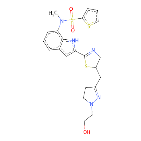 CN(c1cccc2cc(C3=NCC(CC4=NN(CCO)CC4)S3)[nH]c12)S(=O)(=O)c1cccs1